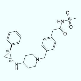 CS(=O)(=O)NC(=O)Cc1ccc(CN2CCC(N[C@@H]3C[C@H]3c3ccccc3)CC2)cc1